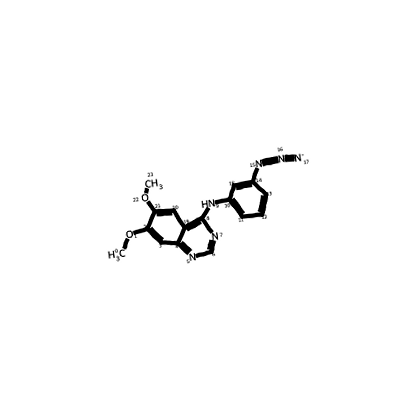 COc1cc2ncnc(Nc3cccc(N=[N+]=[N-])c3)c2cc1OC